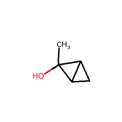 CC1(O)C2CC21